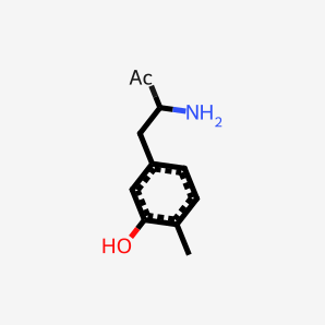 CC(=O)C(N)Cc1ccc(C)c(O)c1